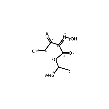 CSC(C)OC(=O)/C(=N\O)C(=O)CCl